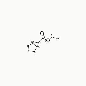 CCOC(=O)C1C2CCCC21